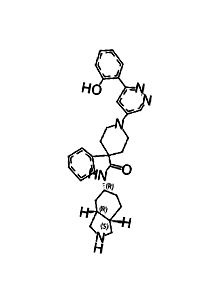 O=C(N[C@@H]1CC[C@@H]2CNC[C@@H]2C1)C1(c2ccccc2)CCN(c2cnnc(-c3ccccc3O)c2)CC1